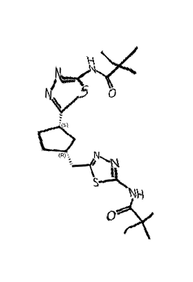 CC(C)(C)C(=O)Nc1nnc(C[C@@H]2CC[C@H](c3nnc(NC(=O)C(C)(C)C)s3)C2)s1